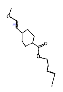 CCCCOC(=O)C1CCC(/C=C/OC)CC1